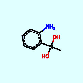 C[Si](O)(O)c1ccccc1N